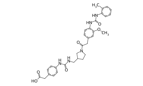 COc1cc(CC(=O)N2CCC(CNC(=O)Nc3ccc(CC(=O)O)cc3)C2)ccc1NC(=O)Nc1ccccc1C